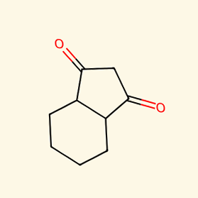 O=C1CC(=O)C2CCCCC12